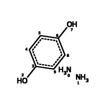 N.N.Oc1ccc(O)cc1